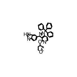 c1ccc(C(c2ccccc2)(c2ccccc2)n2nc(-c3ccc4nc[nH]c4c3)c3c(OC4CCOCC4)nccc32)cc1